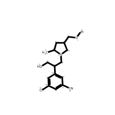 CC(C)OCC1CC(C)N(CC(CO)c2cc(Cl)cc(C#N)c2)C1